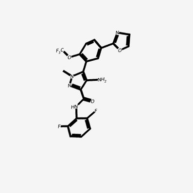 Cn1nc(C(=O)Nc2c(F)cccc2F)c(N)c1-c1cc(-c2ncco2)ccc1OC(F)(F)F